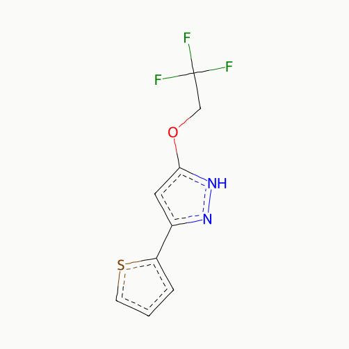 FC(F)(F)COc1cc(-c2cccs2)n[nH]1